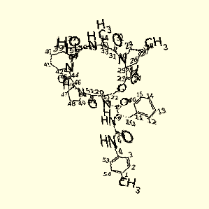 Cc1ccc(NC(=O)N[C@@H](Cc2ccccc2)C(=O)N[C@H]2COC(=O)[C@@H]3C[C@@H](C)CN3C(=O)[C@H](C)NC(O)[C@@H]3CCCCN3C(=O)[C@@H]3CCCN3C2=O)cc1